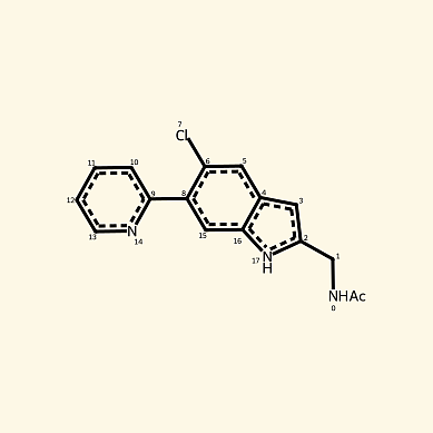 CC(=O)NCc1cc2cc(Cl)c(-c3ccccn3)cc2[nH]1